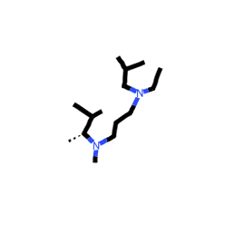 CCN(CCCN(C)[C@H](C)C(C)C)CC(C)C